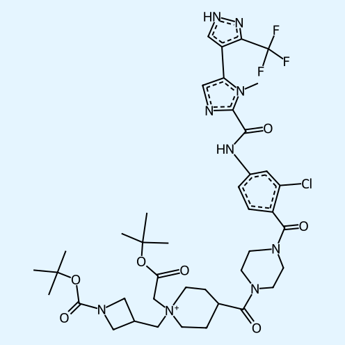 Cn1c(-c2c[nH]nc2C(F)(F)F)cnc1C(=O)Nc1ccc(C(=O)N2CCN(C(=O)C3CC[N+](CC(=O)OC(C)(C)C)(CC4CN(C(=O)OC(C)(C)C)C4)CC3)CC2)c(Cl)c1